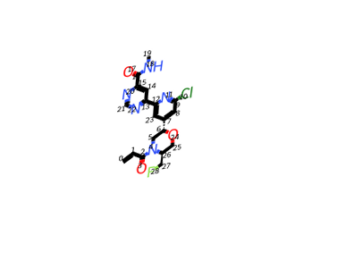 C=CC(=O)N1C[C@H](c2cc(Cl)nc(-c3cc(C(=O)NC)ncn3)c2)OC[C@H]1CF